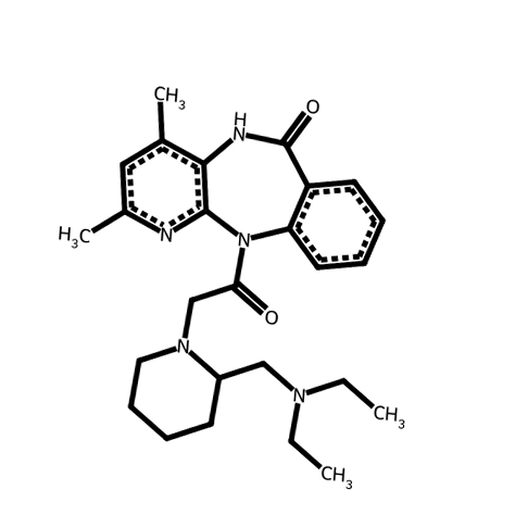 CCN(CC)CC1CCCCN1CC(=O)N1c2ccccc2C(=O)Nc2c(C)cc(C)nc21